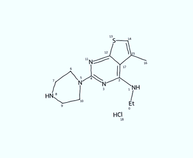 CCNc1nc(N2CCNCC2)nc2scc(C)c12.Cl